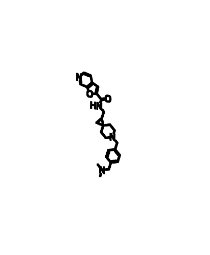 CN(C)Cc1ccc(CN2CCC3(CC2)CC3CNC(=O)c2cc3ccncc3o2)cc1